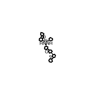 c1ccc(C2N=C(c3cccc4c3oc3ccccc34)NC(c3ccc4oc5cc(-c6cccc7c6sc6ccccc67)ccc5c4c3)N2)cc1